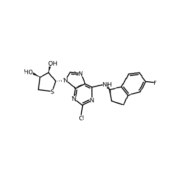 O[C@@H]1[C@H](O)CS[C@H]1n1cnc2c(N[C@@H]3CCc4cc(F)ccc43)nc(Cl)nc21